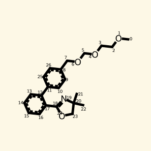 COCCOCOCc1ccc(-c2ccccc2C2=NC(C)(C)CO2)cc1